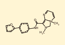 CN1C[N+]2(C)C=CC=NC2=C1C(=O)Nc1ccc(-c2ccco2)cc1